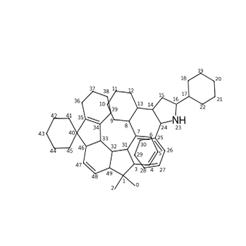 CC1(C)C2C=CC=C(C3CCCCC3C3CC(C4CCCCC4)NC3C3=CC=CCC3)C2C2C3C4=C(CCCC4)C4(CCCCC4)C3C=CC21